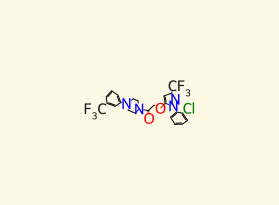 O=C(COc1cc(C(F)(F)F)nn1-c1ccccc1Cl)N1CCN(c2cccc(C(F)(F)F)c2)CC1